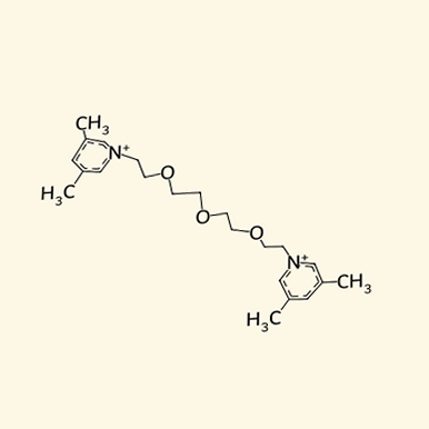 Cc1cc(C)c[n+](CCOCCOCCOCC[n+]2cc(C)cc(C)c2)c1